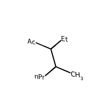 CCCC(C)C(CC)C(C)=O